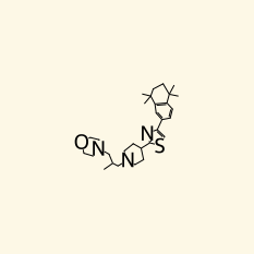 CC(CN1CCOCC1)CN1CCC(c2nc(-c3ccc4c(c3)C(C)(C)CCC4(C)C)cs2)CC1